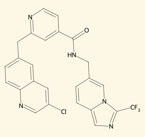 O=C(NCc1ccc2cnc(C(F)(F)F)n2c1)c1ccnc(Cc2ccc3ncc(Cl)cc3c2)c1